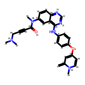 C=C1C=C(Oc2ccc(Nc3ncnc4ccc(N(C)C(=O)C#CCN(C)C)cc34)cc2)C=CN1C